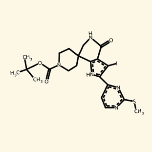 CSc1nccc(-c2[nH]c3c(c2I)C(=O)NCC32CCN(C(=O)OC(C)(C)C)CC2)n1